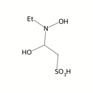 CCN(O)C(O)CS(=O)(=O)O